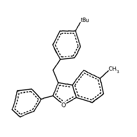 Cc1ccc2oc(-c3ccccc3)c(Cc3ccc(C(C)(C)C)cc3)c2c1